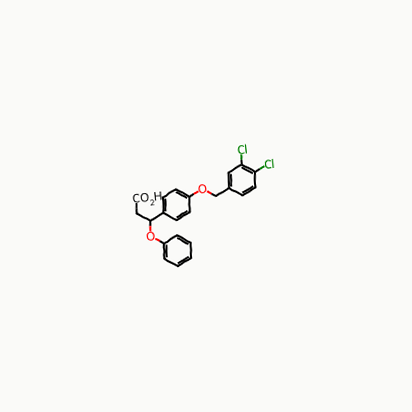 O=C(O)CC(Oc1ccccc1)c1ccc(OCc2ccc(Cl)c(Cl)c2)cc1